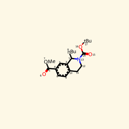 CCCCC1c2cc(C(=O)OC)ccc2CCN1C(=O)OC(C)(C)C